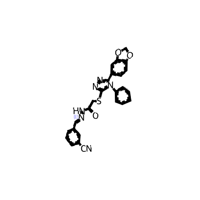 N#Cc1cccc(/C=N/NC(=O)CSc2nnc(-c3ccc4c(c3)OCO4)n2-c2ccccc2)c1